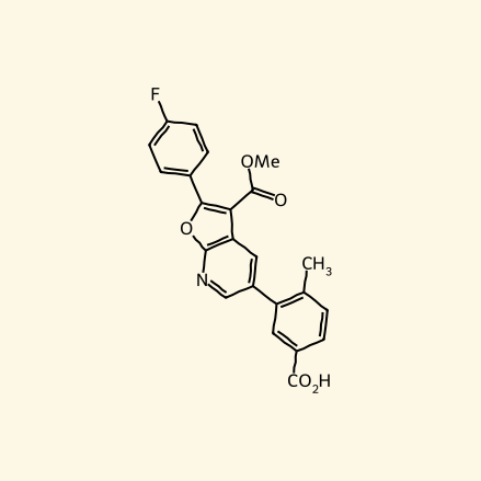 COC(=O)c1c(-c2ccc(F)cc2)oc2ncc(-c3cc(C(=O)O)ccc3C)cc12